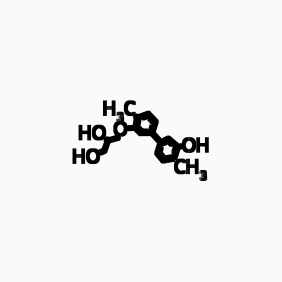 Cc1ccc(-c2ccc(C)c(OCC(O)CO)c2)cc1O